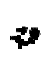 COc1cc(NC(=O)C[n+]2ccc(CN3CC/C(=C\C4=C(C(=O)[O-])N5C(=O)[C@@H](N)[C@H]5SC4)C3=O)cc2)ccc1O.O=C(O)C(F)(F)F